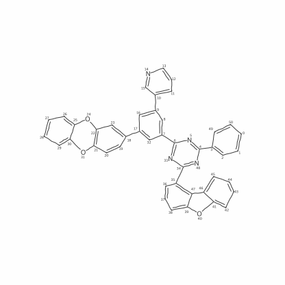 c1ccc(-c2nc(-c3cc(-c4cccnc4)cc(-c4ccc5c(c4)Oc4ccccc4O5)c3)nc(-c3cccc4oc5ccccc5c34)n2)cc1